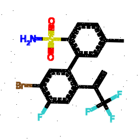 C=C(c1cc(F)c(Br)cc1-c1cc(C)ccc1S(N)(=O)=O)C(F)(F)F